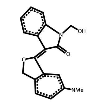 CNc1ccc2c(c1)C(=C1C(=O)N(CO)c3ccccc31)OC2